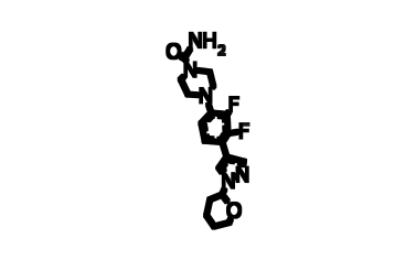 NC(=O)N1CCN(c2ccc(-c3cnn(C4CCCCO4)c3)c(F)c2F)CC1